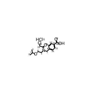 CC(C)OCCN(Cc1ccc(C(=O)O)cc1)C(=O)CCl.Cl